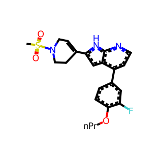 CCCOc1ccc(-c2ccnc3[nH]c(C4=CCN(S(C)(=O)=O)CC4)cc23)cc1F